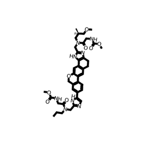 CCCN(Cc1ncc(-c2ccc3c(c2)COc2cc4c(cc2-3)CCc2nc(CN(C[C@@H](C)COC)C(=O)CNC(=O)OC)[nH]c2-4)[nH]1)C(=O)CNC(=O)OC